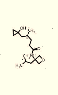 CC(C)CC1(NC(=O)CC[C@H](C)CC2(O)CC2)COC1